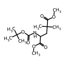 COC(=O)C(CC(C)(C)C(=O)OC)NC(=O)OC(C)(C)C